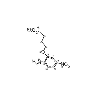 CCOC(=O)CCCOc1cc([N+](=O)[O-])ccc1N